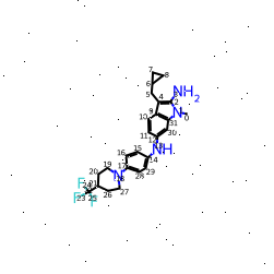 Cn1c(N)c(CC2CC2)c2ccc(Nc3ccc(N4CCC(C(F)(F)F)CC4)cc3)cc21